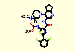 CC1(NC(=O)O)CCCN(c2c(NC(=O)c3nc(-c4c(F)cccc4F)sc3NC(=O)OC(C)(C)C)cnc3c2CCC3)C1